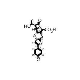 CC(O)[C@H]1C(=O)N2C(C(=O)O)=C(Sc3nc(-c4ccc(Cl)cc4)cs3)[C@H](C)[C@H]12